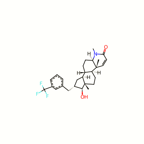 CN1C(=O)C=C[C@]2(C)[C@H]3CC[C@]4(C)[C@@H](O)[C@H](Cc5cccc(C(F)(F)F)c5)C[C@H]4[C@@H]3CC[C@@H]12